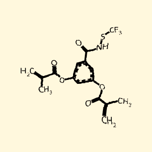 C=C(C)C(=O)Oc1cc(OC(=O)C(=C)C)cc(C(=O)NSC(F)(F)F)c1